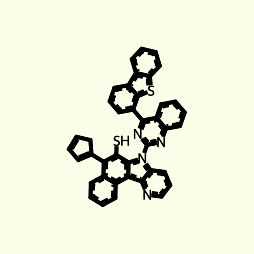 Sc1c(C2=CC=CC2)c2ccccc2c2c3ncccc3n(-c3nc(-c4cccc5c4sc4ccccc45)c4ccccc4n3)c12